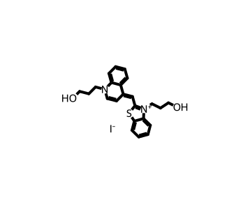 OCCCN1C=CC(=Cc2sc3ccccc3[n+]2CCCO)c2ccccc21.[I-]